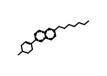 CCCCCCCc1ccc2cc(C3=CCC(C)CC3)ccc2c1